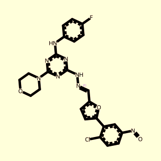 O=Nc1ccc(Cl)c(-c2ccc(/C=N/Nc3nc(Nc4ccc(F)cc4)nc(N4CCOCC4)n3)o2)c1